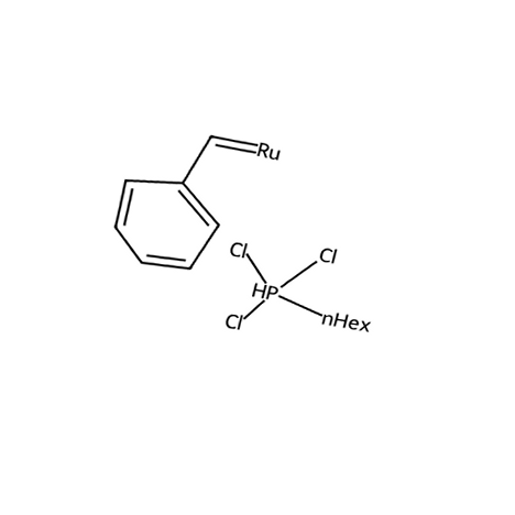 CCCCCC[PH](Cl)(Cl)Cl.[Ru]=[CH]c1ccccc1